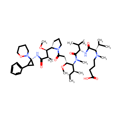 CC[C@H](C)[C@@H]([C@@H](CC(=O)N1CCC[C@H]1[C@H](OC)[C@@H](C)C(=O)N[C@]1(N2CCCCO2)CC1c1ccccc1)OC)N(C)C(=O)[C@@H](NC(=O)[C@H](C(C)C)N(C)CCCC(=O)O)C(C)C